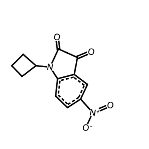 O=C1C(=O)N(C2CCC2)c2ccc([N+](=O)[O-])cc21